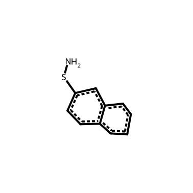 NSc1ccc2ccccc2c1